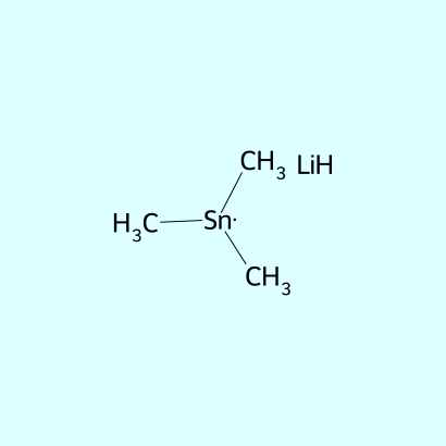 [CH3][Sn]([CH3])[CH3].[LiH]